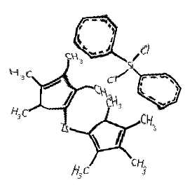 CC1=C(C)C(C)[C]([Zr][C]2=C(C)C(C)=C(C)C2C)=C1C.Cl[Si](Cl)(c1ccccc1)c1ccccc1